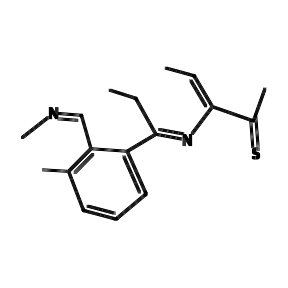 C/C=C(\N=C(/CC)c1cccc(C)c1/C=N\C)C(C)=S